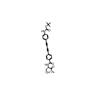 COC(=O)[C@@H](CO)NC(=O)c1ccc(C#CC#Cc2ccc(NC(=O)OC(C)(C)C)cc2)cc1